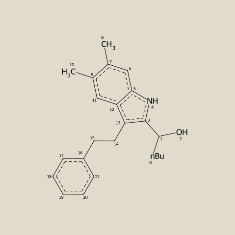 CCCCC(O)c1[nH]c2cc(C)c(C)cc2c1CCc1ccccc1